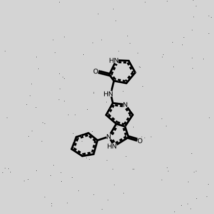 O=c1[nH]cccc1Nc1cc2c(cn1)c(=O)[nH]n2-c1ccccc1